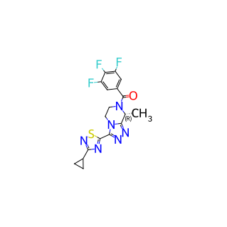 C[C@@H]1c2nnc(-c3nc(C4CC4)ns3)n2CCN1C(=O)c1cc(F)c(F)c(F)c1